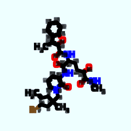 C=CCC(C)(CCBr)Cn1cccc(NC(=O)C(CCC(=O)C(=O)NC)NC(=O)c2oc3ccccc3c2C)c1=O